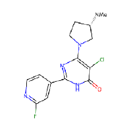 CN[C@H]1CCN(c2nc(-c3ccnc(F)c3)[nH]c(=O)c2Cl)C1